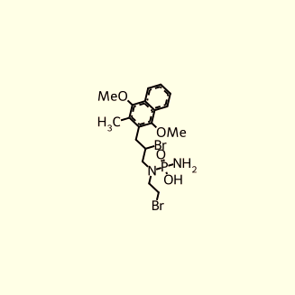 COc1c(C)c(CC(Br)CN(CCBr)P(N)(=O)O)c(OC)c2ccccc12